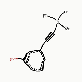 CC(C)[Si](C#Cc1cccc(Br)c1)(C(C)C)C(C)C